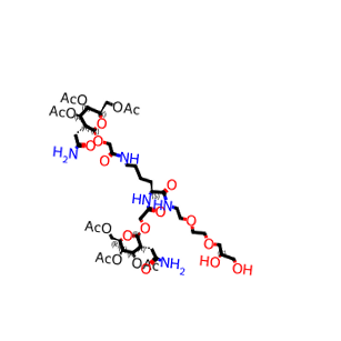 CC(=O)OC[C@H]1O[C@@H](OCC(=O)NCCCC[C@H](NC(=O)CO[C@@H]2O[C@H](COC(C)=O)[C@H](OC(C)=O)[C@H](OC(C)=O)[C@H]2CC(N)=O)C(=O)NCCOCCOC[C@H](O)CO)[C@H](CC(N)=O)[C@@H](OC(C)=O)[C@H]1OC(C)=O